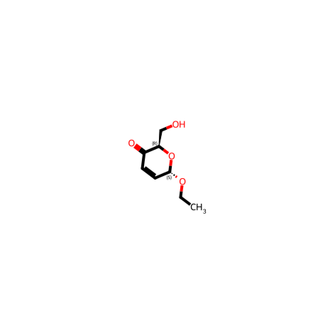 CCO[C@@H]1C=CC(=O)[C@@H](CO)O1